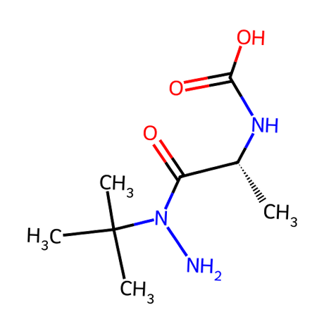 C[C@@H](NC(=O)O)C(=O)N(N)C(C)(C)C